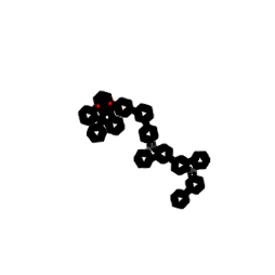 c1ccc(-c2cccc(-n3c4ccccc4c4cc(-c5ccc6c(c5)c5ccccc5n6-c5ccc(-c6cccc(-c7ccc(-c8cccc(-c9ccccc9C9(c%10ccccc%10)c%10ccccc%10-c%10ccccc%109)c8)cc7)c6)cc5)ccc43)c2)cc1